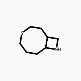 C1CSCCC2CNC2C1